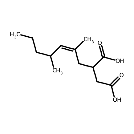 CCCC(C)C=C(C)CC(CC(=O)O)C(=O)O